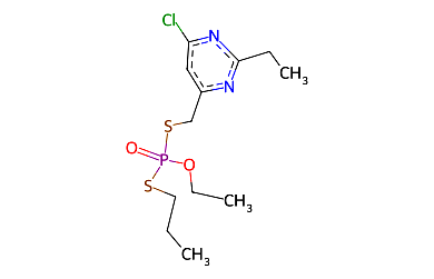 CCCSP(=O)(OCC)SCc1cc(Cl)nc(CC)n1